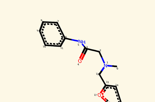 CN(CC(=O)Nc1ccccc1)Cc1ccco1